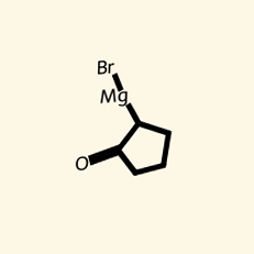 O=C1CCC[CH]1[Mg][Br]